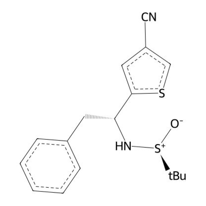 CC(C)(C)[S@+]([O-])N[C@H](Cc1ccccc1)c1cc(C#N)cs1